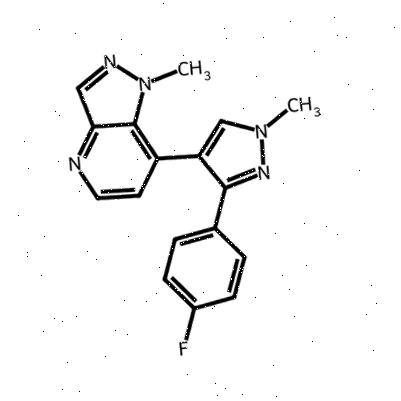 Cn1cc(-c2ccnc3cnn(C)c23)c(-c2ccc(F)cc2)n1